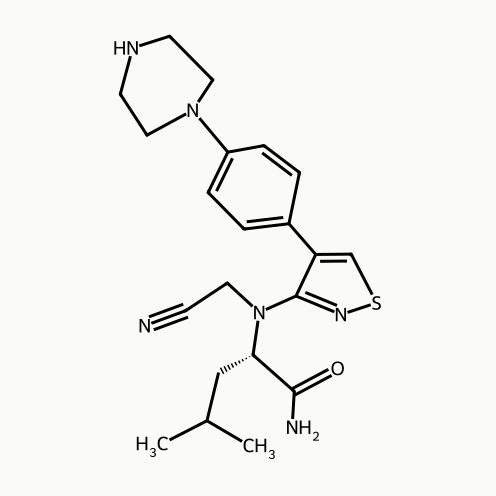 CC(C)C[C@@H](C(N)=O)N(CC#N)c1nscc1-c1ccc(N2CCNCC2)cc1